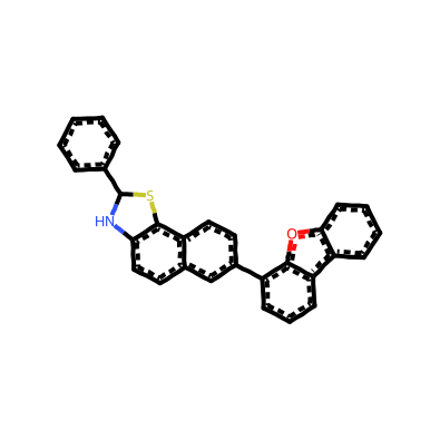 c1ccc(C2Nc3ccc4cc(-c5cccc6c5oc5ccccc56)ccc4c3S2)cc1